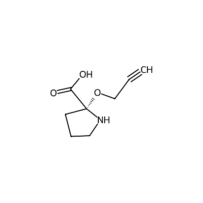 C#CCO[C@@]1(C(=O)O)CCCN1